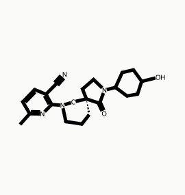 Cc1ccc(C#N)c(N2CCC[C@@]3(CCN(C4CCC(O)CC4)C3=O)C2)n1